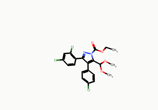 CCOC(=O)n1nc(-c2ccc(Cl)cc2Cl)c(-c2ccc(Cl)cc2)c1C(OC)OC